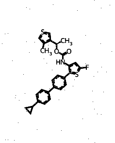 Cc1cscc1[C@@H](C)OC(=O)Nc1cc(F)sc1-c1ccc(-c2ccc(C3CC3)cc2)cc1